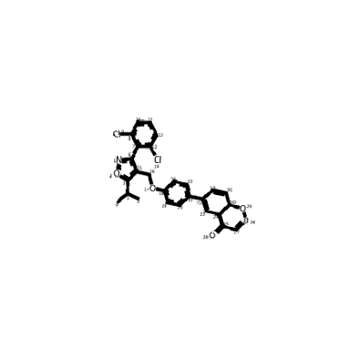 CC(C)c1onc(-c2c(Cl)cccc2Cl)c1COc1ccc(C2=CC3C(=O)C=BOC3C=C2)cc1